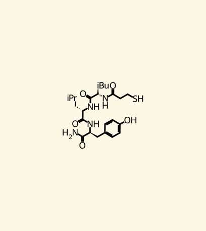 CC[C@H](C)[C@H](NC(=O)CCS)C(=O)N[C@@H](CC(C)C)C(=O)N[C@@H](Cc1ccc(O)cc1)C(N)=O